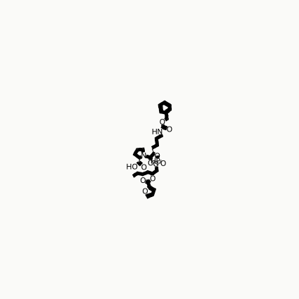 CCCCC(CO[PH](=O)O[C@@H](CCCCNC(=O)OCc1ccccc1)C(=O)N1CCC[C@H]1C(=O)O)OC(=O)c1ccco1